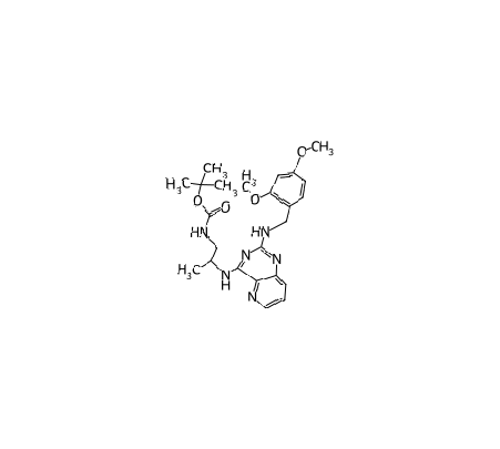 COc1ccc(CNc2nc(NC(C)CNC(=O)OC(C)(C)C)c3ncccc3n2)c(OC)c1